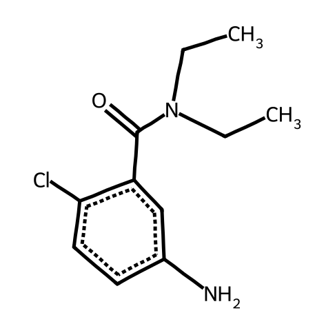 CCN(CC)C(=O)c1cc(N)ccc1Cl